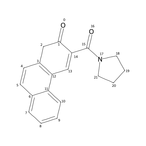 O=C1Cc2ccc3ccccc3c2C=C1C(=O)N1CCCC1